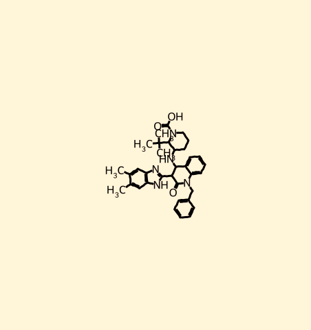 Cc1cc2nc(C3C(=O)N(Cc4ccccc4)c4ccccc4C3NC3CCCN(C(=O)O)C3C(C)(C)C)[nH]c2cc1C